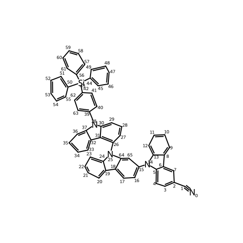 N#Cc1ccc2c(c1)c1ccccc1n2-c1ccc2c3ccccc3n(-c3cccc4c3c3ccccc3n4-c3ccc([Si](c4ccccc4)(c4ccccc4)c4ccccc4)cc3)c2c1